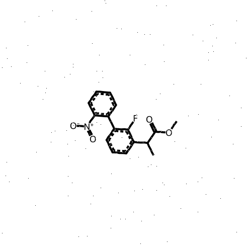 COC(=O)C(C)c1cccc(-c2ccccc2[N+](=O)[O-])c1F